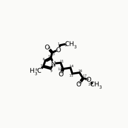 CCOC(=O)c1cc(C)cn1CC(=O)CCCC(=O)OC